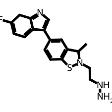 CC1c2cc(C3=CN=C4CC(F)=CC=C34)ccc2SN1CCNN